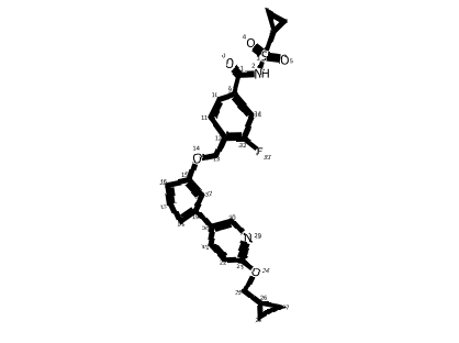 O=C(NS(=O)(=O)C1CC1)c1ccc(COc2cccc(-c3ccc(OCC4CC4)nc3)c2)c(F)c1